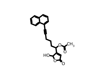 CC(=O)OC(CCCC#Cc1cccc2ccccc12)C1=CC(=O)OC1O